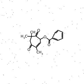 CC1=CC(OC(=O)c2ccccc2)C(=O)C(C)(C)CC1=O